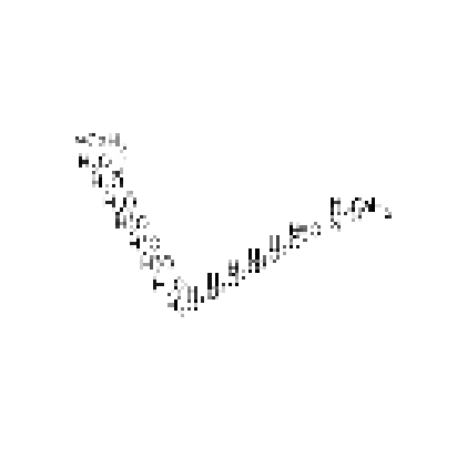 O.O.O.O.O.O.O.O.O.O.O.O.O.O.O.[CaH2].[CaH2]